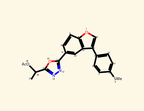 CSc1ccc(-c2coc3ccc(-c4nnc(C(C)OC(C)=O)o4)cc23)cc1